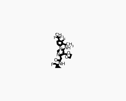 CC(Nc1ncnc(CC(=O)NC2(CF)CC2)c1C1OCCO1)c1cccc(C(C)(F)F)c1F